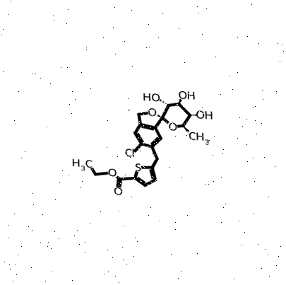 CCOC(=O)c1ccc(Cc2cc3c(cc2Cl)CO[C@]32O[C@H](C)[C@@H](O)[C@H](O)[C@H]2O)s1